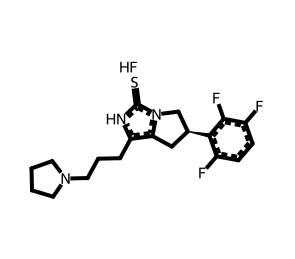 F.Fc1ccc(F)c([C@H]2Cc3c(CCCN4CCCC4)[nH]c(=S)n3C2)c1F